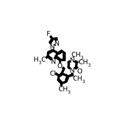 Cc1cc(Cl)c(COc2cccc3c(-n4cc(F)cn4)cc(C)nc23)c([C@H](C)N2CCN(C)[C@H](C)C2=O)c1